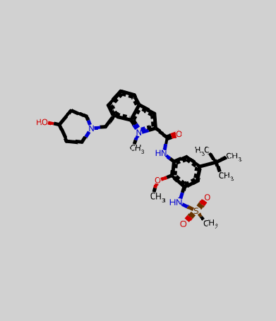 COc1c(NC(=O)c2cc3cccc(CN4CCC(O)CC4)c3n2C)cc(C(C)(C)C)cc1NS(C)(=O)=O